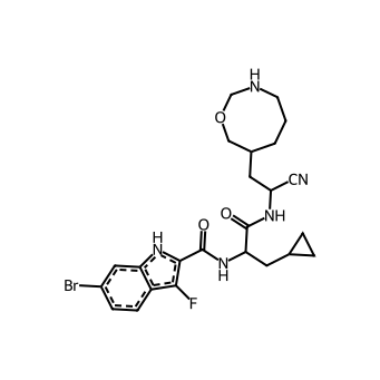 N#CC(CC1CCCNCOC1)NC(=O)C(CC1CC1)NC(=O)c1[nH]c2cc(Br)ccc2c1F